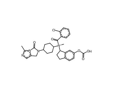 Cc1ncc2n1C(=O)N(C1CCC([N+](C)(C(=O)c3ccccc3Cl)C3CCc4ccc(OC(=O)O)cc43)CC1)C2